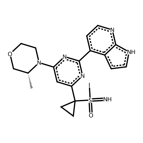 C[C@@H]1COCCN1c1cc(C2(S(=N)(=O)I)CC2)nc(-c2ccnc3[nH]ccc23)n1